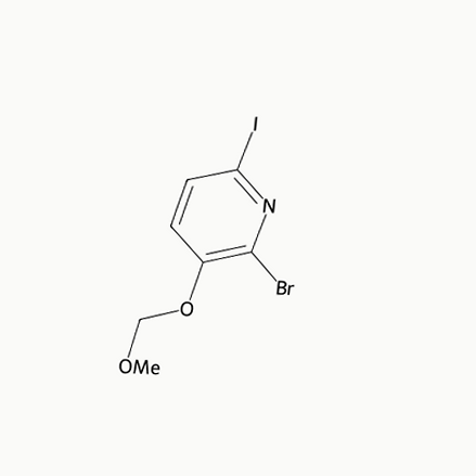 COCOc1ccc(I)nc1Br